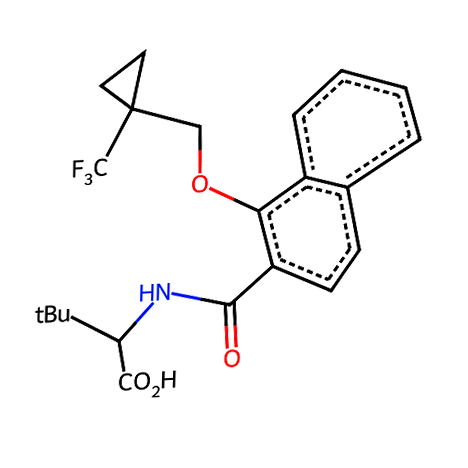 CC(C)(C)C(NC(=O)c1ccc2ccccc2c1OCC1(C(F)(F)F)CC1)C(=O)O